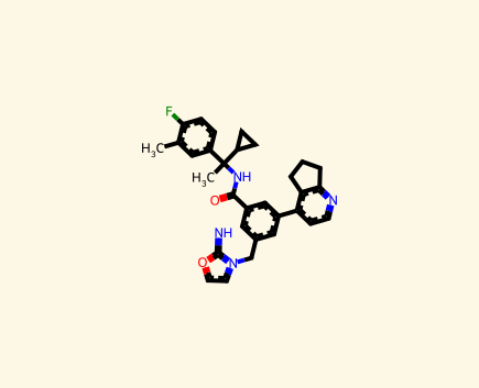 Cc1cc(C(C)(NC(=O)c2cc(Cn3ccoc3=N)cc(-c3ccnc4c3CCC4)c2)C2CC2)ccc1F